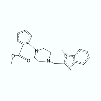 COC(=O)c1ccccc1N1CCN(Cc2nc3ccccc3n2C)CC1